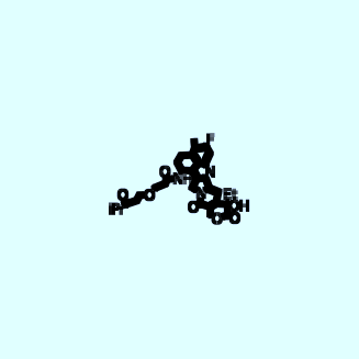 CC[C@@]1(O)C(=O)OCc2c1cc1n(c2=O)Cc2c-1nc1cc(F)c(C)c3c1c2[C@@H](NC(=O)CCOCCC(=O)C(C)C)CC3